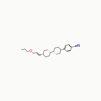 CCCOCC=C[C@H]1CC[C@H]([C@H]2CC[C@H](c3ccc(C#N)cc3)CC2)CC1